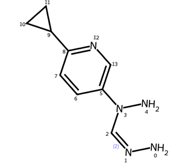 N/N=C\N(N)c1ccc(C2CC2)nc1